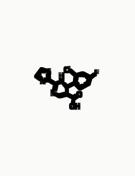 O=C(O)C1=CN=C(c2nccs2)NC1c1ccc(F)cc1Cl